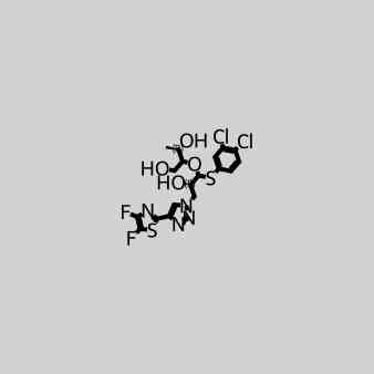 C[C@@H](O)C(CO)OC(Sc1ccc(Cl)c(Cl)c1)[C@@H](O)Cn1cc(-c2nc(F)c(F)s2)nn1